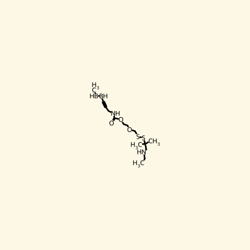 CBBC#CCNC(=O)OCCOCSSC(C)(C)CNCC